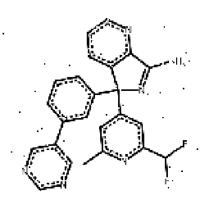 Cc1cc(C2(c3cccc(-c4cncnc4)c3)N=C(N)c3ncccc32)cc(C(F)F)n1